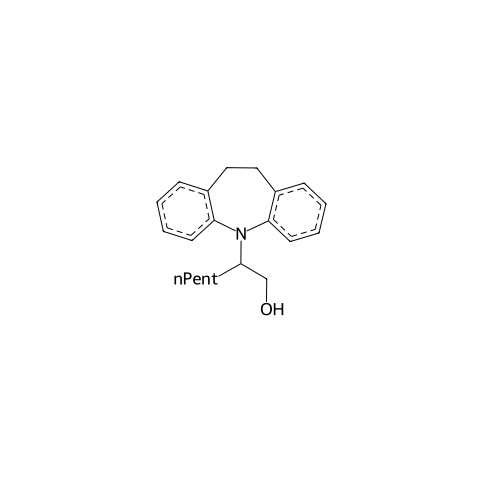 CCCCCC(CO)N1c2ccccc2CCc2ccccc21